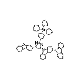 c1ccc([Si](c2ccccc2)(c2ccccc2)c2ccc(-c3nc(-c4ccc5c(c4)sc4ccccc45)cc(-n4c5ccccc5c5cc(-n6c7ccccc7c7ccccc76)ccc54)n3)cc2)cc1